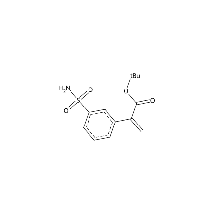 C=C(C(=O)OC(C)(C)C)c1cccc(S(N)(=O)=O)c1